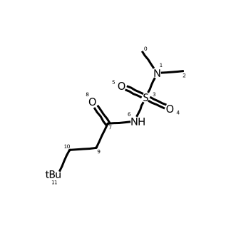 CN(C)S(=O)(=O)NC(=O)CCC(C)(C)C